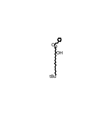 CC(C)(C)CCCCCCCCCCCCCCC(O)CCCOC(=O)CCc1ccccc1